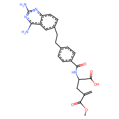 C=C(CC(NC(=O)c1ccc(CCc2ccc3nc(N)nc(N)c3c2)cc1)C(=O)O)C(=O)OC